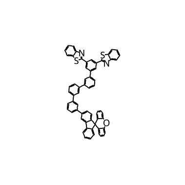 c1cc(-c2cccc(-c3cc(-c4nc5ccccc5s4)cc(-c4nc5ccccc5s4)c3)c2)cc(-c2cccc(-c3ccc4c(c3)-c3ccccc3C43c4ccccc4Oc4ccccc43)c2)c1